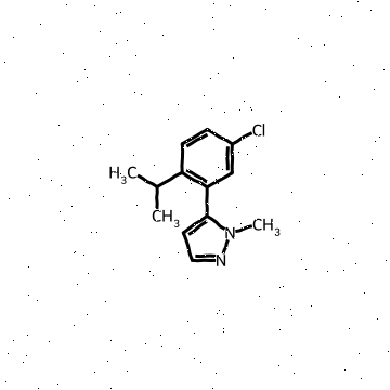 CC(C)c1ccc(Cl)cc1-c1ccnn1C